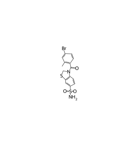 Cc1cc(Br)ccc1C(=O)N1CSc2cc(S(N)(=O)=O)ccc21